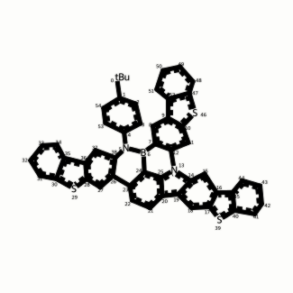 CC(C)(C)c1ccc(N2B3c4cc5c(cc4-n4c6cc7c(cc6c6ccc(c3c64)-c3cc4sc6ccccc6c4cc32)sc2ccccc27)sc2ccccc25)cc1